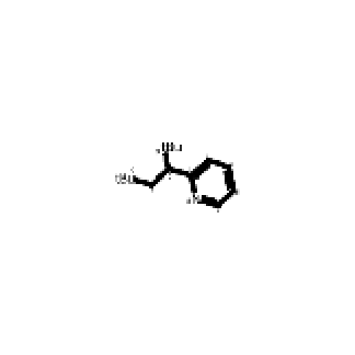 CC(C)(C)CC(c1ccccn1)C(C)(C)C